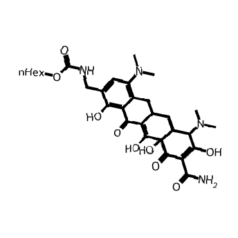 CCCCCCOC(=O)NCc1cc(N(C)C)c2c(c1O)C(=O)C1=C(O)C3(O)C(=O)C(C(N)=O)=C(O)C(N(C)C)C3CC1C2